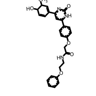 CC1C=C(c2cc(-c3ccc(OCC(=O)NCCOc4ccccc4)cc3)[nH]c(=O)n2)C=CC1O